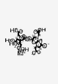 NC(CC(=O)O)C(CC(=O)O)(CC(=O)O)NCC(=O)O.O=C([O-])CN(CCN(CC(=O)O)CC(=O)O)CC(=O)[O-].[Na+].[Na+]